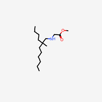 CCCCCCC(C)(CCCC)CNCC(=O)OC